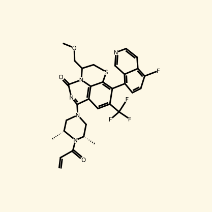 C=CC(=O)N1[C@H](C)CN(c2nc(=O)n3c4c(c(-c5ccc(F)c6ccncc56)c(C(F)(F)F)cc24)SCC3COC)C[C@@H]1C